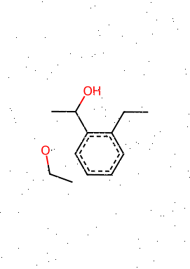 CC[O].CCc1ccccc1C(C)O